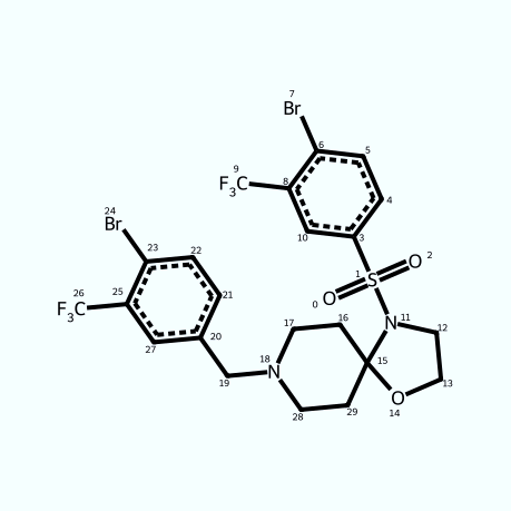 O=S(=O)(c1ccc(Br)c(C(F)(F)F)c1)N1CCOC12CCN(Cc1ccc(Br)c(C(F)(F)F)c1)CC2